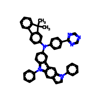 CC1(C)c2ccccc2-c2ccc(N(c3ccc(-c4ncncn4)cc3)c3ccc4c(c3)c3cc5c(ccn5-c5ccccc5)cc3n4-c3ccccc3)cc21